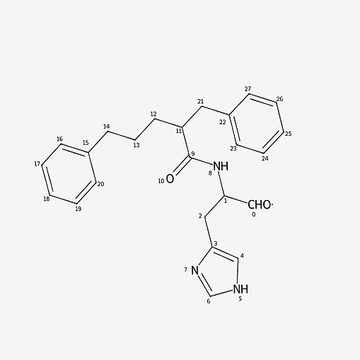 O=[C]C(Cc1c[nH]cn1)NC(=O)C(CCCc1ccccc1)Cc1ccccc1